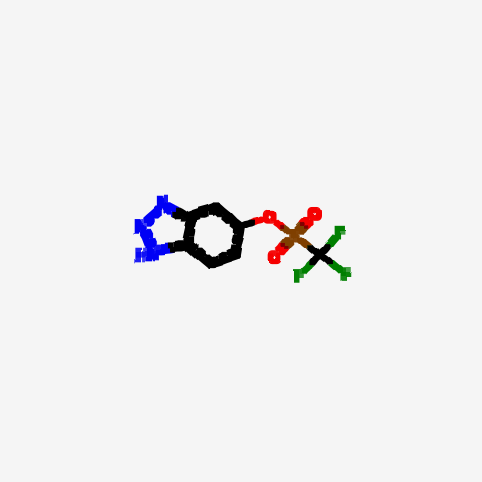 O=S(=O)(Oc1ccc2[nH]nnc2c1)C(F)(F)F